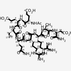 CC(=O)N[C@@H](CCC(=O)O)C(=O)N[C@@H](CCC(=O)O)C(=O)N[C@@H](CC(C)C)C(=O)N[C@@H](CCC(N)=O)C(=O)N[C@@H](CCCNC(=N)N)C(=O)N[C@@H](CCCNC(=N)N)C(=O)N[C@@H](C)C(=O)N[C@@H](CC(=O)O)C(N)=O